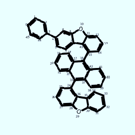 c1ccc(-c2ccc3c(c2)oc2cccc(-c4c5ccccc5c(-c5cccc6oc7ccccc7c56)c5ccccc45)c23)cc1